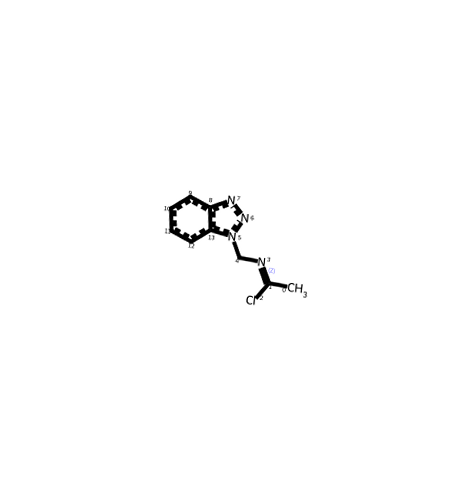 C/C(Cl)=N/Cn1nnc2ccccc21